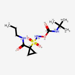 CCCNC(=O)C1(S(=O)(=O)NOC(=O)NC(C)(C)C)CC1